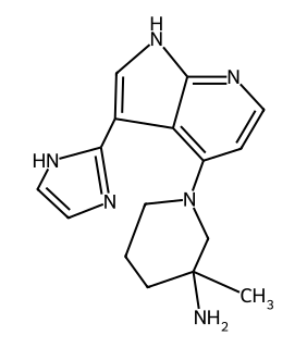 CC1(N)CCCN(c2ccnc3[nH]cc(-c4ncc[nH]4)c23)C1